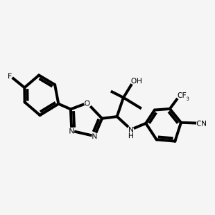 CC(C)(O)C(Nc1ccc(C#N)c(C(F)(F)F)c1)c1nnc(-c2ccc(F)cc2)o1